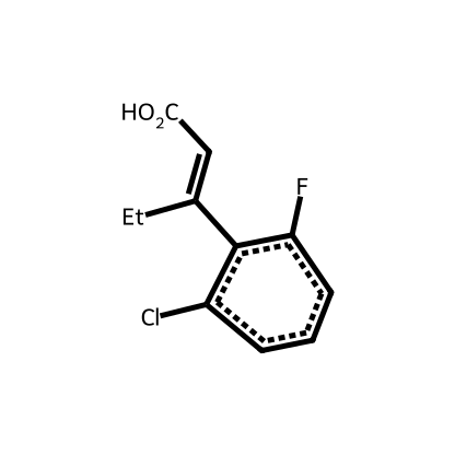 CC/C(=C\C(=O)O)c1c(F)cccc1Cl